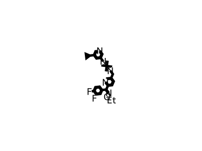 CCO/N=C(\c1ccc(F)c(F)c1)c1ccc(CN2CC3(C2)CN(c2cncc(C4CC4)c2)C3)cn1